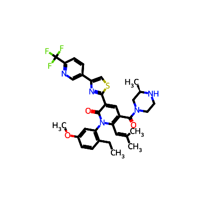 CCc1ccc(OC)cc1-n1c(C=C(C)C)c(C(=O)N2CCN[C@H](C)C2)cc(-c2nc(-c3ccc(C(F)(F)F)nc3)cs2)c1=O